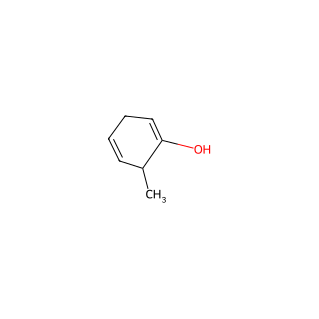 CC1C=CCC=C1O